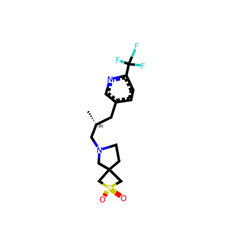 C[C@H](Cc1ccc(C(F)(F)F)nc1)CN1CCC2(C1)CS(=O)(=O)C2